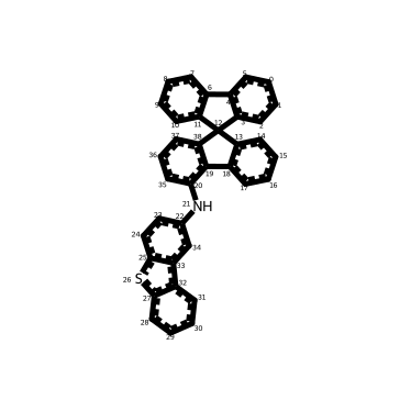 c1ccc2c(c1)-c1ccccc1C21c2ccccc2-c2c(Nc3ccc4sc5ccccc5c4c3)cccc21